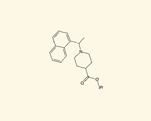 CC(C)OC(=O)C1CCN(C(C)c2cccc3ccccc23)CC1